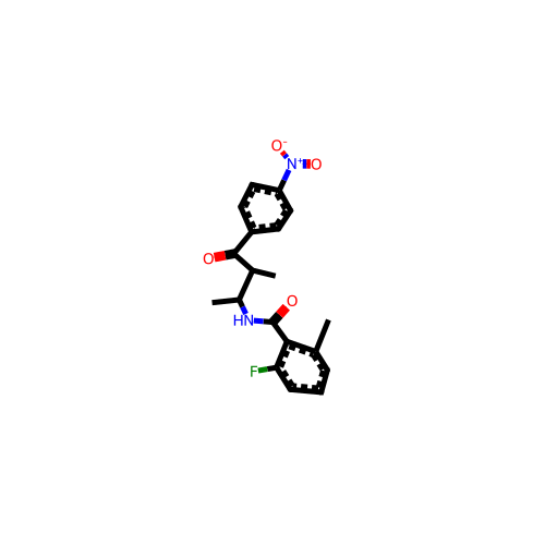 Cc1cccc(F)c1C(=O)NC(C)C(C)C(=O)c1ccc([N+](=O)[O-])cc1